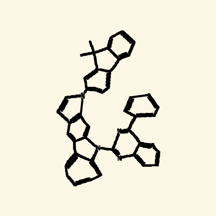 CC1(C)c2ccccc2-c2ccc(-n3ccc4cc5c6ccccc6n(-c6nc(-c7ccccc7)c7ccccc7n6)c5cc43)cc21